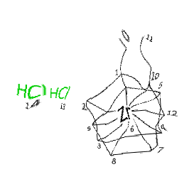 C[C]12[CH]3[CH]4[CH]5[CH]1[Zr]45321678[CH]2[CH]1[CH]6[C]7(C)[CH]28.Cl.Cl